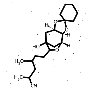 CC(C#N)CC(C)CCC1O[C@@H]2CC1(O)C[C@H]1OC3(CCCCC3)O[C@@H]21